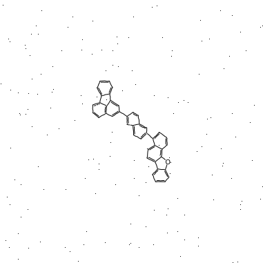 c1ccc2c(c1)-c1cccc3cc(-c4ccc5cc(-c6cccc7c6ccc6c8ccccc8oc76)ccc5c4)cc-2c13